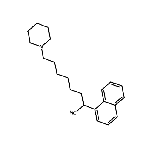 N#CC(CCCCCCN1CCCCC1)c1cccc2ccccc12